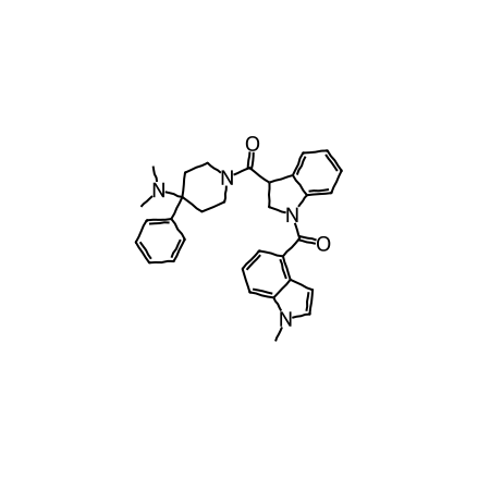 CN(C)C1(c2ccccc2)CCN(C(=O)C2CN(C(=O)c3cccc4c3ccn4C)c3ccccc32)CC1